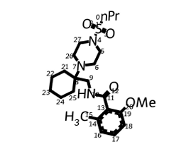 CCCS(=O)(=O)N1CCN(C2(CNC(=O)c3c(C)cccc3OC)CCCCC2)CC1